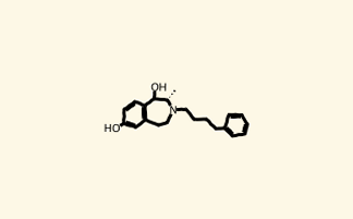 C[C@H]1C(O)c2ccc(O)cc2CCN1CCCCc1ccccc1